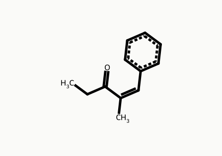 CCC(=O)C(C)=Cc1ccccc1